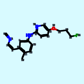 C=N/C=C\c1cc(Nc2ccc(OCCCF)cn2)ccc1C